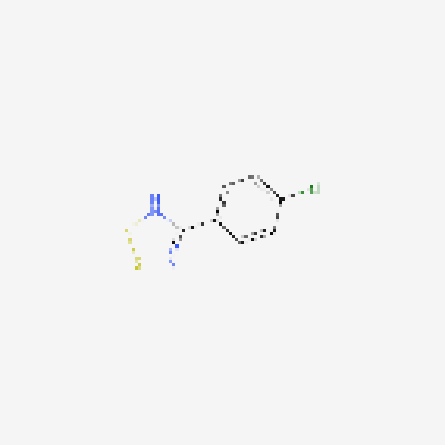 Clc1ccc(C2=NSSN2)cc1